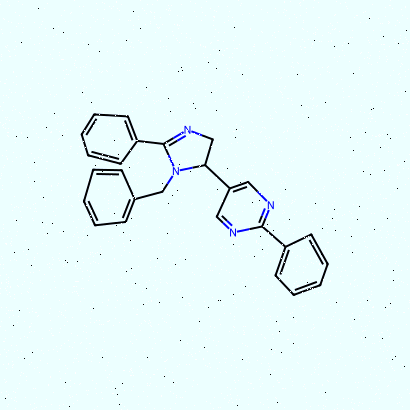 c1ccc(CN2C(c3ccccc3)=NCC2c2cnc(-c3ccccc3)nc2)cc1